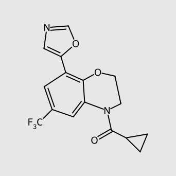 O=C(C1CC1)N1CCOc2c(-c3cnco3)cc(C(F)(F)F)cc21